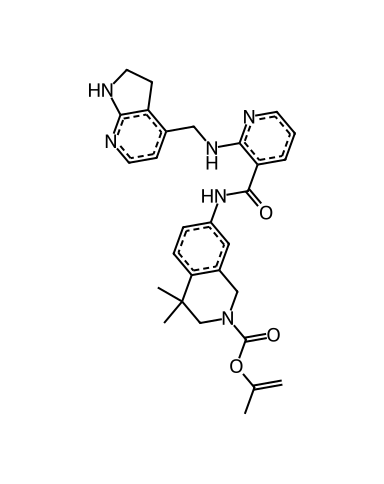 C=C(C)OC(=O)N1Cc2cc(NC(=O)c3cccnc3NCc3ccnc4c3CCN4)ccc2C(C)(C)C1